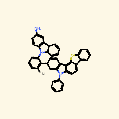 N#Cc1cccc(N2c3ccc(N)cc3C3C=CC=CC32)c1C1C=Cc2c(n(-c3ccccc3)c3ccc4c5ccccc5sc4c23)C1